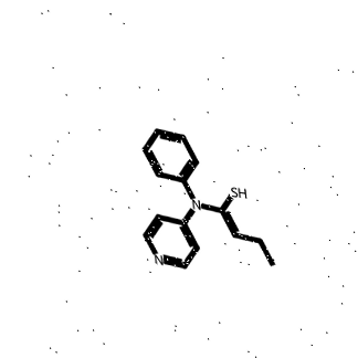 CC/C=C(\S)N(c1ccccc1)c1ccncc1